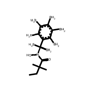 Bc1c(B)c(B)c(C(B)(B)N(O)C(=O)C(C)(C)CC)c(B)c1B